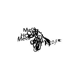 CCOC(=O)/C=C(C)/C=C/C=C(C)/C=C/c1c(C)cc(OC)c(C)c1C.COc1cc([C@@H]2c3cc4c(cc3C(O[C@@H]3O[C@@H]5CO[C@@H](C)O[C@H]5[C@H](O)[C@H]3O)C3COC(=O)[C@@H]32)OCO4)cc(OC)c1O